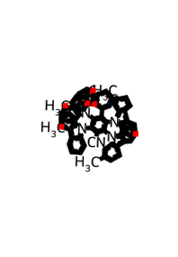 Cc1ccc2c3ccccc3n(-c3c(C#N)c(-n4c5ccccc5c5ccc(C)cc54)c(-n4c5ccccc5c5ccc(C)cc54)c(-c4cccc5sc6ccccc6c45)c3-n3c4ccccc4c4ccc(C)cc43)c2c1